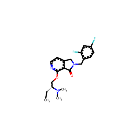 CC[C@H](COc1nccc2c1C(=O)N(Cc1ccc(F)cc1F)C2)N(C)C